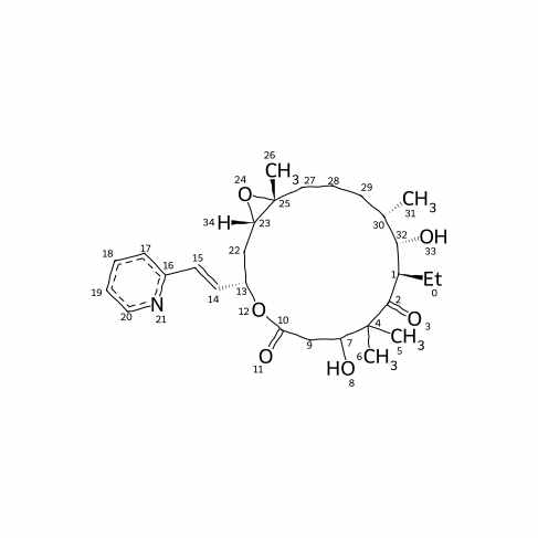 CC[C@H]1C(=O)C(C)(C)C(O)CC(=O)O[C@H](C=Cc2ccccn2)C[C@@H]2O[C@]2(C)CCC[C@H](C)[C@@H]1O